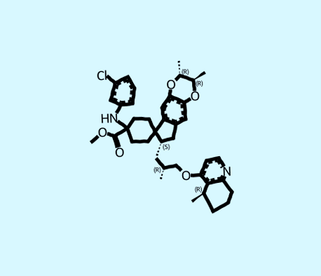 COC(=O)C1(Nc2cccc(Cl)c2)CCC2(CC1)c1cc3c(cc1C[C@@H]2C[C@@H](C)COc1ccnc2c1[C@H](C)CCC2)O[C@H](C)[C@@H](C)O3